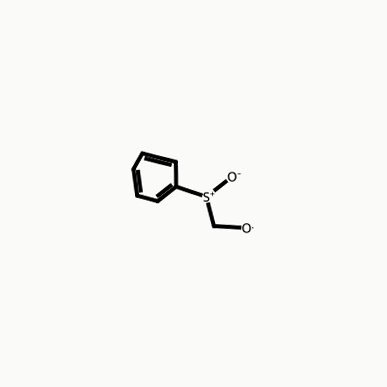 [O]C[S+]([O-])c1ccccc1